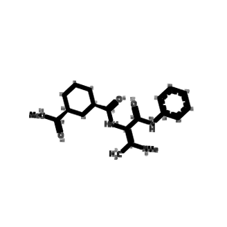 CN/C(C)=C(/NC(=O)[C@@H]1CCC[C@H](C(=O)OC)C1)C(=O)Nc1ccccc1